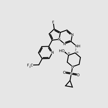 O=S(=O)(C1CC1)N1CC[C@@H](Nc2ncc3c(F)cc(-c4ccc(CC(F)(F)F)cn4)n3n2)[C@H](O)C1